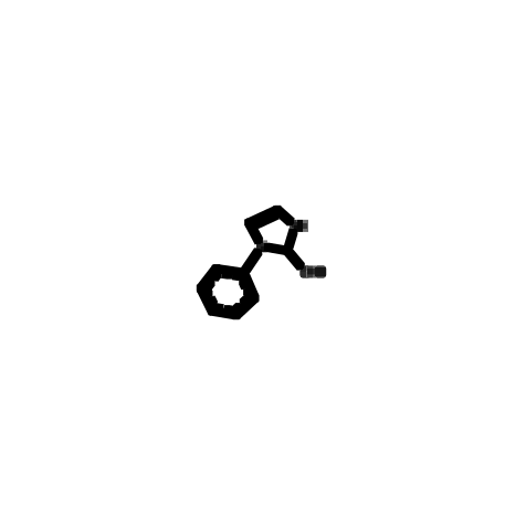 O=CC1NC=CN1c1ccccc1